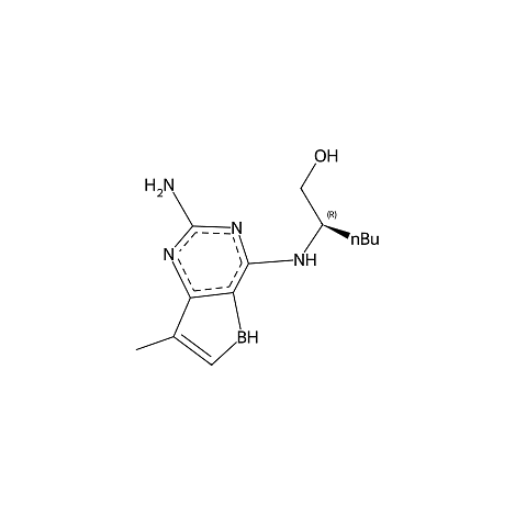 CCCC[C@H](CO)Nc1nc(N)nc2c1BC=C2C